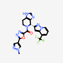 Cn1cc(-c2nnc(C(=O)N3CCc4[nH]cnc4[C@@H]3c3cc4c(C(F)(F)F)cccn4n3)o2)cn1